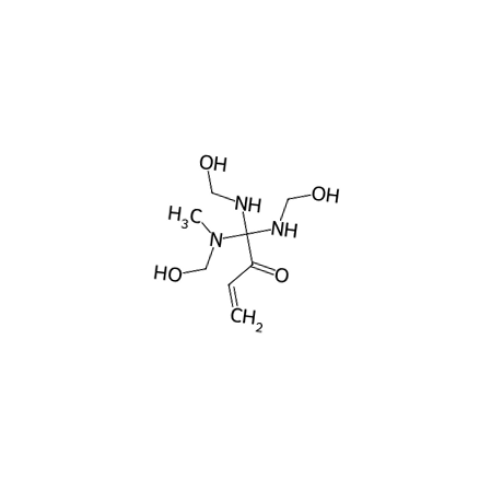 C=CC(=O)C(NCO)(NCO)N(C)CO